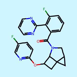 O=C(c1cccc(F)c1-c1ncccn1)N1CC2CC23CC(Oc2ccc(F)cn2)C13